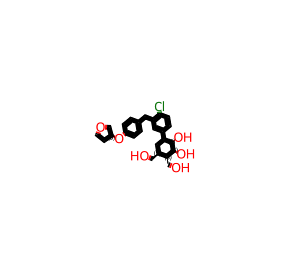 OC[C@H]1CC(c2ccc(Cl)c(Cc3ccc(O[C@H]4CCOC4)cc3)c2)[C@H](O)[C@@H](O)[C@@H]1CO